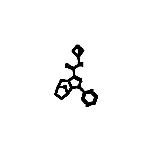 O=C(NC12CC(C1)C2)C1=NN(c2cnccn2)C2C3CCC(CC12)O3